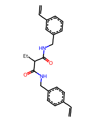 C=Cc1ccc(CNC(=O)C(CC)C(=O)NCc2cccc(C=C)c2)cc1